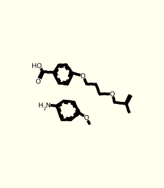 C=C(C)COCCCOc1ccc(C(=O)O)cc1.COc1ccc(N)cc1